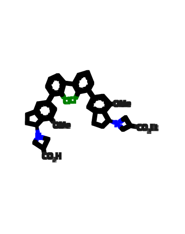 CCOC(=O)C1CN([C@H]2CCc3cc(-c4cccc(-c5cccc(-c6cc7c(c(OC)c6)[C@@H](N6CC(C(=O)O)C6)CC7)c5Cl)c4Cl)cc(OC)c32)C1